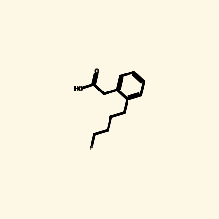 O=C(O)Cc1ccccc1CCCCF